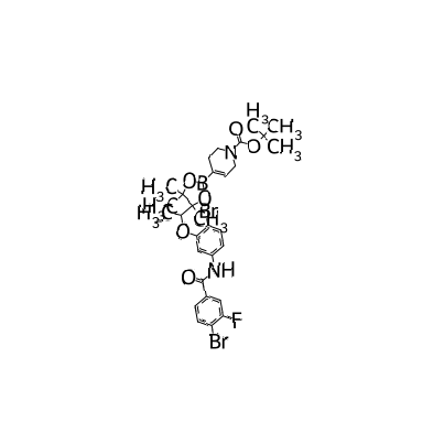 CC(Oc1cc(NC(=O)c2ccc(Br)c(F)c2)ccc1Br)C1(C)OB(C2=CCN(C(=O)OC(C)(C)C)CC2)OC1(C)C